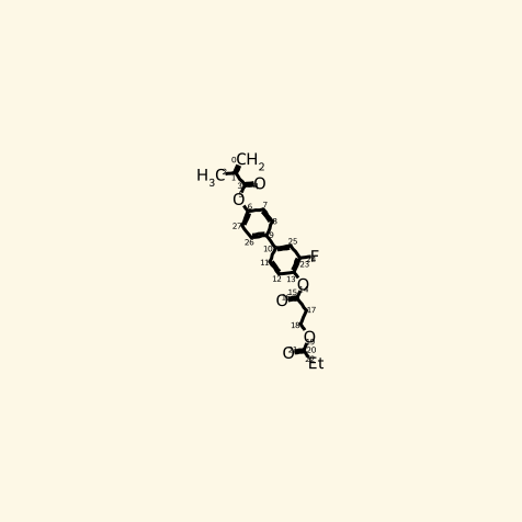 C=C(C)C(=O)Oc1ccc(-c2ccc(OC(=O)CCOC(=O)CC)c(F)c2)cc1